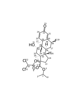 CC(C)OC(=O)[C@@]1(OC(=O)C(Cl)Cl)CC[C@H]2[C@@H]3C[C@H](F)C4=CC(=O)C=C[C@]4(C)[C@@]3(F)[C@@H](O)C[C@@]21C